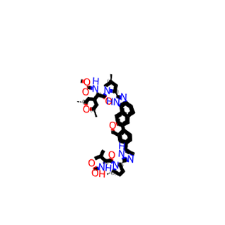 COC(=O)N[C@H](C(=O)N1C[C@@H](C)C[C@H]1c1nc2ccc3cc4c(cc3c2[nH]1)OCc1cc(-c2cnc([C@@H]3CC[C@H](C)N3C(=O)[C@@H](NC(=O)O)C(C)C)[nH]2)ccc1-4)C1C[C@@H](C)O[C@H](C)C1